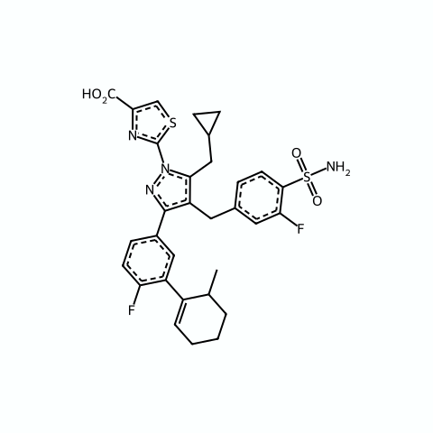 CC1CCCC=C1c1cc(-c2nn(-c3nc(C(=O)O)cs3)c(CC3CC3)c2Cc2ccc(S(N)(=O)=O)c(F)c2)ccc1F